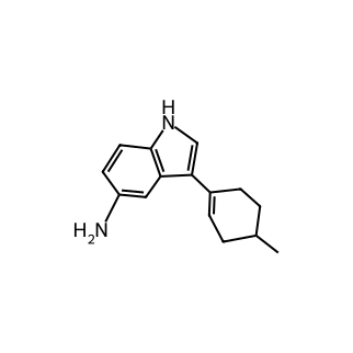 CC1CC=C(c2c[nH]c3ccc(N)cc23)CC1